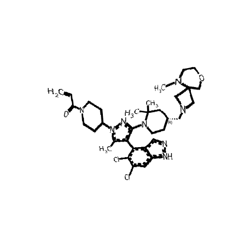 C=CC(=O)N1CCC(n2nc(N3CC[C@@H](CN4CC5(COCCN5C)C4)CC3(C)C)c(-c3c(Cl)c(Cl)cc4[nH]ncc34)c2C)CC1